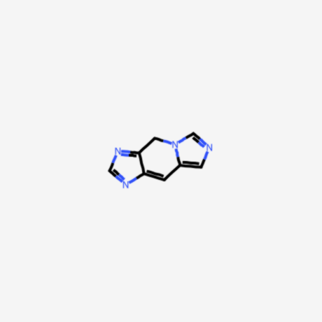 C1=NC2=Cc3cncn3CC2=N1